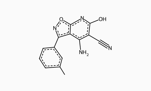 Cc1cccc(-c2noc3nc(O)c(C#N)c(N)c23)c1